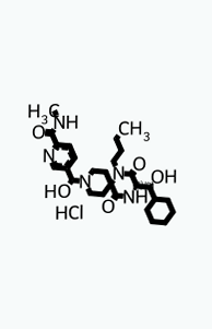 CCCCN1C(=O)[C@@H]([C@H](O)C2CCCCC2)NC(=O)C12CCN(C(O)c1ccc(C(=O)NC)nc1)CC2.Cl